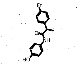 CCc1ccc(C(F)C(=O)Nc2ccc(O)cc2)cc1